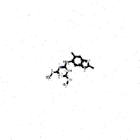 Cc1nc2cc(C)c(N/C(=N/C(=O)OC(C)(C)C)NC(=O)OC(C)(C)C)cc2s1